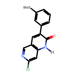 CCn1c(=O)c(-c2cccc(SC)c2)cc2cnc(Cl)cc21